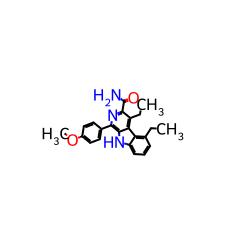 CCc1cccc2[nH]c3c(-c4ccc(OC)cc4)nc(C(N)=O)c(CC)c3c12